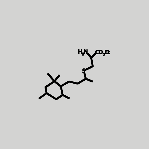 CCOC(=O)C(N)CSC(C)CCC1C(C)CC(C)CC1(C)C